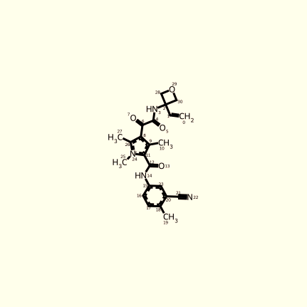 C=CC1(NC(=O)C(=O)c2c(C)c(C(=O)Nc3ccc(C)c(C#N)c3)n(C)c2C)COC1